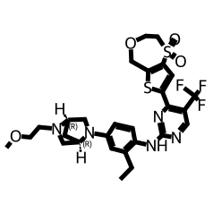 CCc1cc(N2C[C@H]3C[C@@H]2CN3CCOC)ccc1Nc1ncc(C(F)(F)F)c(-c2cc3c(s2)COCCS3(=O)=O)n1